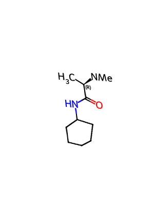 CN[C@H](C)C(=O)NC1CCCCC1